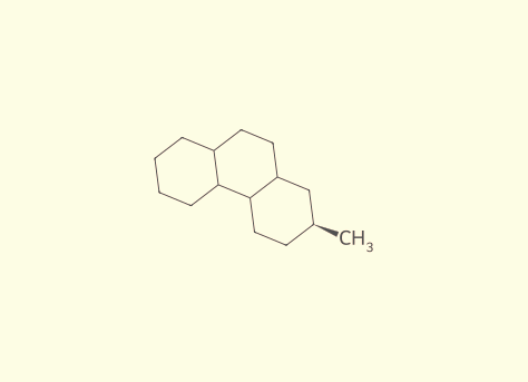 C[C@H]1CCC2C(CCC3CCCCC32)C1